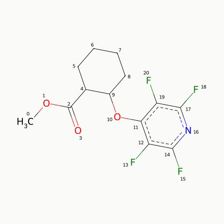 COC(=O)C1CCCCC1Oc1c(F)c(F)nc(F)c1F